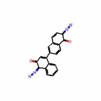 [N-]=[N+]=C1C=Cc2[c]c(C3=CC(=O)C(=[N+]=[N-])c4ccccc43)ccc2C1=O